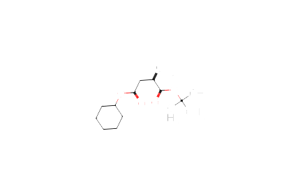 C=C(CC(=O)OC1CCCCC1)C(=O)OC(C)(C)C